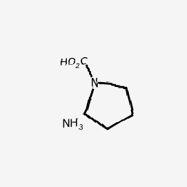 N.O=C(O)N1CCCC1